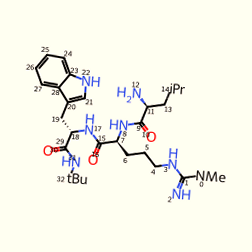 CNC(=N)NCCC[C@H](NC(=O)[C@@H](N)CC(C)C)C(=O)N[C@@H](Cc1c[nH]c2ccccc12)C(=O)NC(C)(C)C